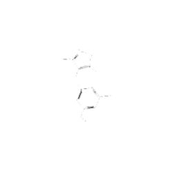 Cc1cc(C#N)cc(Oc2c(C)n[nH]c2C)c1